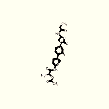 CCC(=O)NC1CN(c2ccc(-c3ccc(NC(=O)C(C)OC(C)=O)nc3)c(F)c2)C(=O)O1